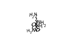 NCCCC[C@H](N)C(=O)NC(=O)c1ccccc1N